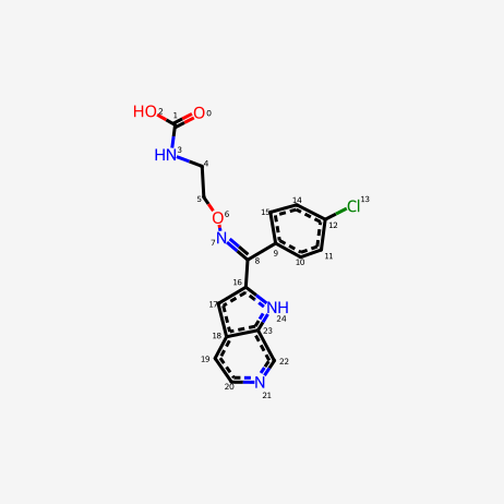 O=C(O)NCCON=C(c1ccc(Cl)cc1)c1cc2ccncc2[nH]1